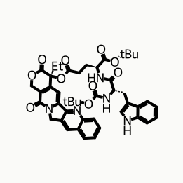 CC[C@@]1(OC(=O)CC[C@H](NC(=O)[C@H](Cc2c[nH]c3ccccc23)NC(=O)OC(C)(C)C)C(=O)OC(C)(C)C)C(=O)OCc2c1cc1n(c2=O)Cc2cc3ccccc3nc2-1